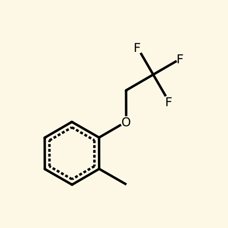 Cc1ccccc1OCC(F)(F)F